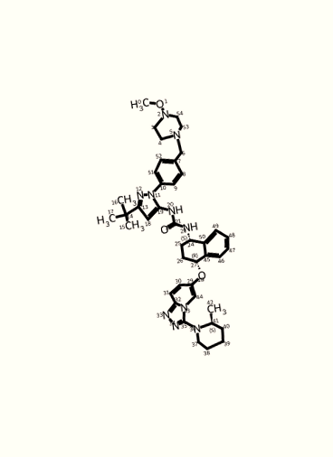 CON1CCN(Cc2ccc(-n3nc(C(C)(C)C)cc3NC(=O)N[C@H]3CC[C@@H](Oc4ccc5nnc(N6CCCC[C@@H]6C)n5c4)c4ccccc43)cc2)CC1